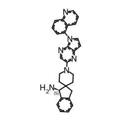 N[C@@H]1c2ccccc2CC12CCN(c1cnc3c(ccn3-c3cccc4ncccc34)n1)CC2